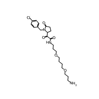 NCCCOCCCCOCCCNC(=O)C(=O)C1CCC(=O)N1Cc1ccc(Cl)cc1